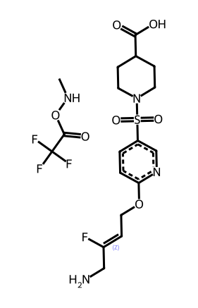 CNOC(=O)C(F)(F)F.NC/C(F)=C/COc1ccc(S(=O)(=O)N2CCC(C(=O)O)CC2)cn1